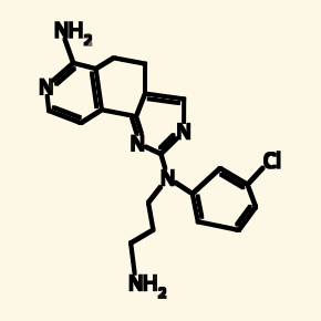 NCCCN(c1cccc(Cl)c1)c1ncc2c(n1)-c1ccnc(N)c1CC2